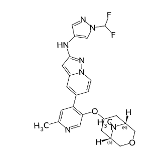 Cc1cc(-c2ccn3nc(Nc4cnn(C(F)F)c4)cc3c2)c(OC2C[C@H]3COC[C@@H](C2)N3C)cn1